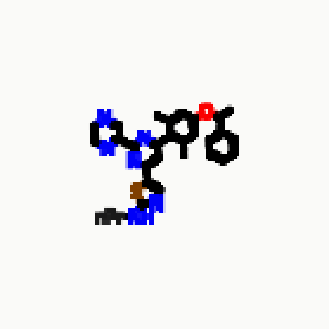 CCCNc1ncc(-c2cc(-c3c(C)cc(OC(C)c4ccccc4)cc3C)nc(-c3cnccn3)n2)s1